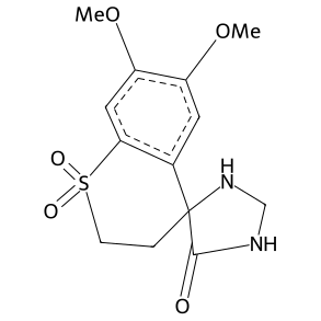 COc1cc2c(cc1OC)S(=O)(=O)CCC21NCNC1=O